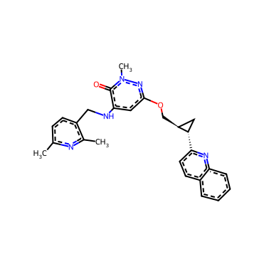 Cc1ccc(CNc2cc(OC[C@H]3C[C@@H]3c3ccc4ccccc4n3)nn(C)c2=O)c(C)n1